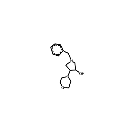 OC1CN(Cc2ccccc2)CC1N1CCOCC1